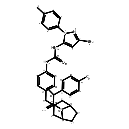 Cc1ccc(-n2nc(C(C)(C)C)cc2NC(=O)Nc2ccc(CC3CC4CCC(C3)N4C(=O)C(C)c3ccc(Cl)cc3)cc2)cc1